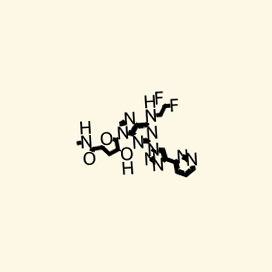 CNC(=O)C1C[C@@H](O)[C@H](n2cnc3c(NCC(F)F)nc(-n4cc(-c5cccnn5)nn4)nc32)O1